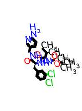 CC[C@H](C)C(NC(=O)OC(C)(C)C)C(=O)N[C@@H](Cc1ccc(Cl)c(Cl)c1)C(=O)NCc1ccc(N)nc1